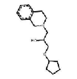 OC(COC1CCCC1)CN1CCc2ccccc2C1